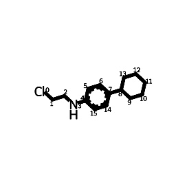 ClCCNc1ccc(C2CCCCC2)cc1